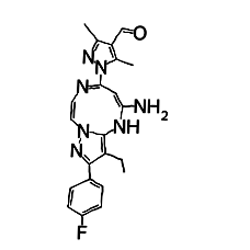 CCc1c(-c2ccc(F)cc2)nn2ccnc(-n3nc(C)c(C=O)c3C)cc(N)[nH]c12